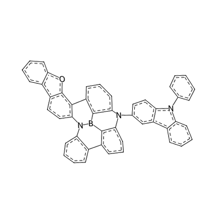 c1ccc(-n2c3ccccc3c3cc(N4c5cccc6c5B5c7c(cccc74)-c4c(ccc7c4oc4ccccc47)N5c4ccccc4-6)ccc32)cc1